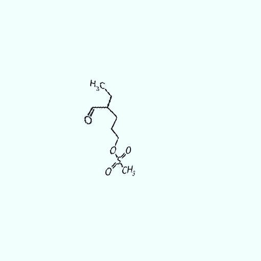 CCC(C=O)CCCOS(C)(=O)=O